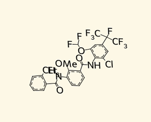 CCN(C(=O)c1ccccc1C)c1cccc(C(=O)Nc2c(Cl)cc(C(F)(C(F)(F)F)C(F)(F)F)cc2OC(F)F)c1OC